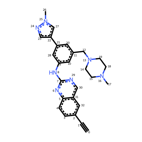 C#Cc1ccc2nc(Nc3cc(CN4CCN(C)CC4)cc(-c4cnn(C)c4)c3)ncc2c1